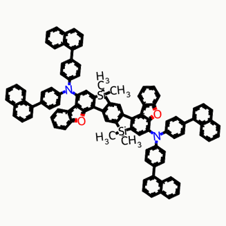 C[Si]1(C)c2cc3c(cc2-c2c1cc(N(c1ccc(-c4cccc5ccccc45)cc1)c1ccc(-c4cccc5ccccc45)cc1)c1c2oc2ccccc21)[Si](C)(C)c1cc(N(c2ccc(-c4cccc5ccccc45)cc2)c2ccc(-c4cccc5ccccc45)cc2)c2oc4ccccc4c2c1-3